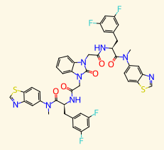 CN(C(=O)[C@H](Cc1cc(F)cc(F)c1)NC(=O)Cn1c(=O)n(CC(=O)N[C@@H](Cc2cc(F)cc(F)c2)C(=O)N(C)c2ccc3scnc3c2)c2ccccc21)c1ccc2scnc2c1